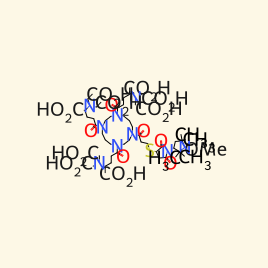 CON1C(C)(C)CC(N2C(=O)CC(SCCC(=O)N3CCCN(C(=O)CCC(C(=O)O)N(CC(=O)O)CC(=O)O)CCN(C(=O)CCC(C(=O)O)N(CC(=O)O)CC(=O)O)CCCN(C(=O)CCC(C(=O)O)N(CC(=O)O)CC(=O)O)CC3)C2=O)C1(C)C